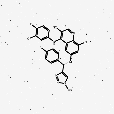 CC(C)(C)n1cc([C@@H](Nc2cc(Cl)c3ncc(C#N)c(Nc4ccc(F)c(Cl)c4)c3c2)c2ccc(F)cc2)nn1